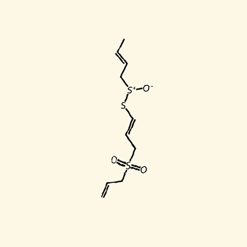 C=CCS(=O)(=O)CC=CS[S+]([O-])CC=CC